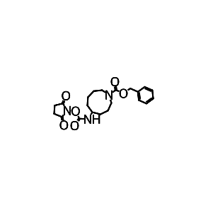 O=C(NC1CCCCN(C(=O)OCc2ccccc2)CCC1)ON1C(=O)CCC1=O